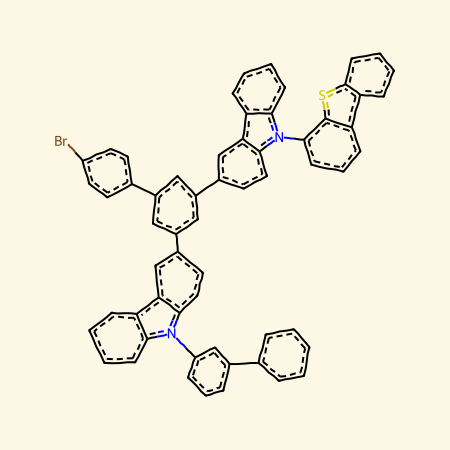 Brc1ccc(-c2cc(-c3ccc4c(c3)c3ccccc3n4-c3cccc(-c4ccccc4)c3)cc(-c3ccc4c(c3)c3ccccc3n4-c3cccc4c3sc3ccccc34)c2)cc1